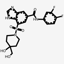 O=C(Nc1ccc(F)c(F)c1)c1cc(S(=O)(=O)N2CCC(O)(CO)CC2)c2[nH]cnc2c1